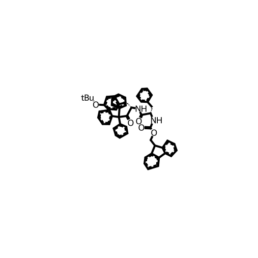 CC(C)(C)Oc1ccc(C[C@H](NC(=O)[C@H](Cc2ccccc2)NC(=O)OCC2c3ccccc3-c3ccccc32)C(=O)C(c2ccccc2)(c2ccccc2)c2ccccc2)cc1